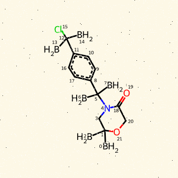 BC1(B)CN(C(B)(B)c2ccc(C(B)(B)Cl)cc2)C(=O)CO1